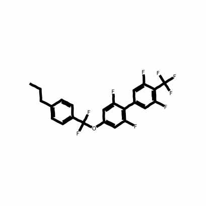 CCCc1ccc(C(F)(F)Oc2cc(F)c(-c3cc(F)c(C(F)(F)F)c(F)c3)c(F)c2)cc1